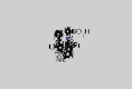 CCOc1cc2ncc(C#N)c(Nc3ccc(OCc4ccccn4)c(Cl)c3)c2cc1NC(=O)/C=C/[C@@H]1CCCN1C(=O)O